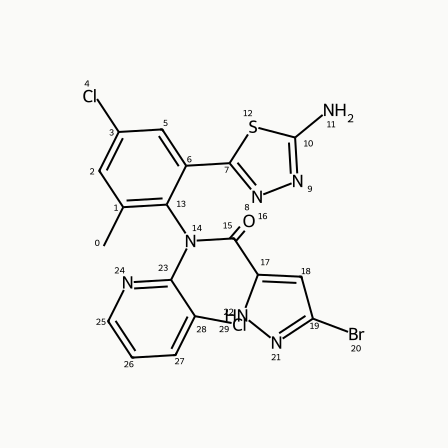 Cc1cc(Cl)cc(-c2nnc(N)s2)c1N(C(=O)c1cc(Br)n[nH]1)c1ncccc1Cl